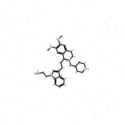 COc1cc2c(cc1OC)C(CCc1cn(CCO)c3ccccc13)N(CC1CCOCC1)CC2